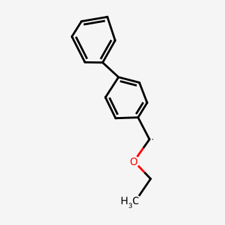 CCO[CH]c1ccc(-c2ccccc2)cc1